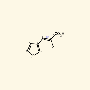 C/C(=C\c1ccsc1)C(=O)O